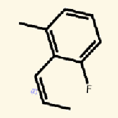 C/C=C\c1c(C)cccc1F